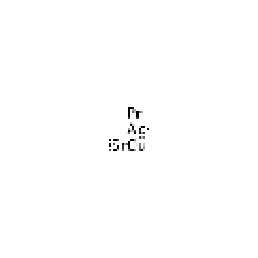 [Ag].[Cu].[Pr].[Sn]